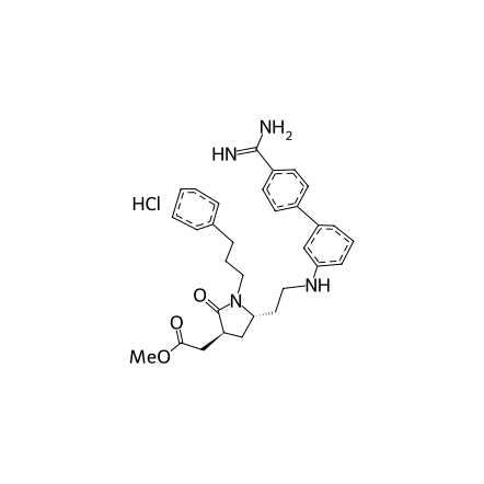 COC(=O)C[C@@H]1C[C@@H](CCNc2cccc(-c3ccc(C(=N)N)cc3)c2)N(CCCc2ccccc2)C1=O.Cl